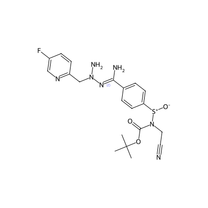 CC(C)(C)OC(=O)N(CC#N)[S+]([O-])c1ccc(/C(N)=N/N(N)Cc2ccc(F)cn2)cc1